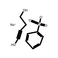 O=S(=O)([O-])c1ccccc1.OC#CCCO.[Na+]